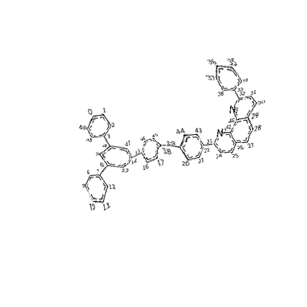 c1ccc(-c2cc(-c3ccccc3)cc(-c3ccc(-c4ccc(-c5ccc6ccc7ccc(-c8ccccc8)nc7c6n5)cc4)cc3)c2)cc1